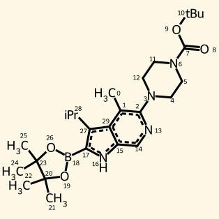 Cc1c(N2CCN(C(=O)OC(C)(C)C)CC2)ncc2[nH]c(B3OC(C)(C)C(C)(C)O3)c(C(C)C)c12